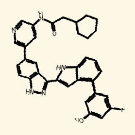 O=C(CC1CCCCC1)Nc1cncc(-c2ccc3[nH]nc(-c4cc5c(-c6cc(O)cc(F)c6)cccc5[nH]4)c3c2)c1